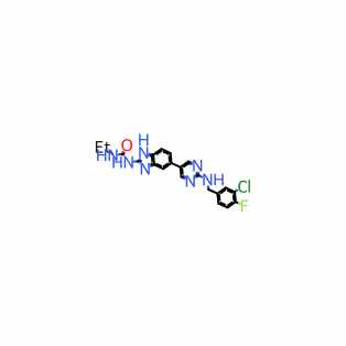 CCNC(=O)Nc1nc2cc(-c3cnc(NCc4ccc(F)c(Cl)c4)nc3)ccc2[nH]1